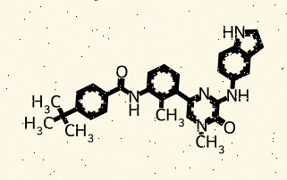 Cc1c(NC(=O)c2ccc(C(C)(C)C)cc2)cccc1-c1cn(C)c(=O)c(Nc2ccc3[nH]ccc3c2)n1